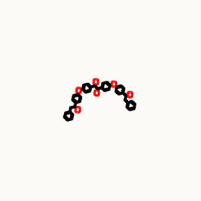 O=C(Cc1ccccc1)c1ccc(Oc2ccc(C(=O)C(=O)c3ccc(Oc4ccc(C(=O)Cc5ccccc5)cc4)cc3)cc2)cc1